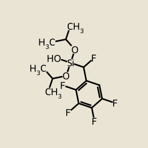 CC(C)O[Si](O)(OC(C)C)C(F)c1cc(F)c(F)c(F)c1F